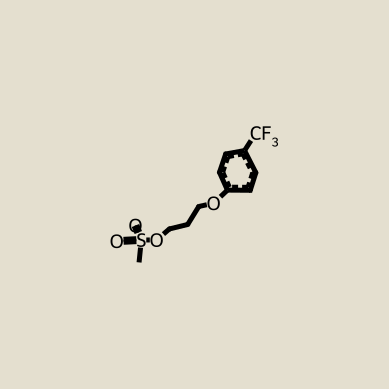 CS(=O)(=O)OCCCOc1ccc(C(F)(F)F)cc1